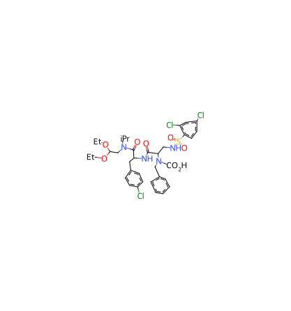 CCOC(CN(C(=O)C(Cc1ccc(Cl)cc1)NC(=O)C(CNS(=O)(=O)c1ccc(Cl)cc1Cl)N(Cc1ccccc1)C(=O)O)C(C)C)OCC